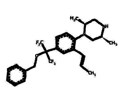 C/C=C/c1cc(C(OCc2ccccc2)(C(F)(F)F)C(F)(F)F)ccc1N1C[C@@H](C)NC[C@@H]1C